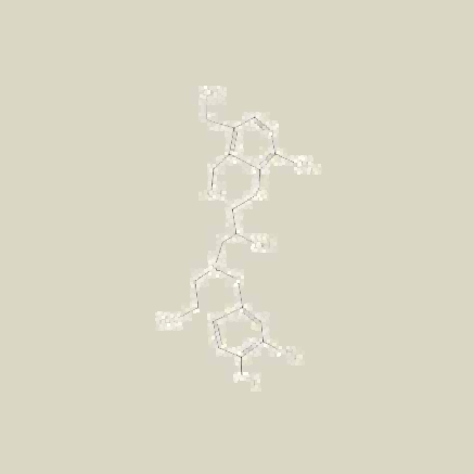 CCCN(CC(O)COc1c(C)ncc(CO)c1CO)Oc1ccc(C)c(C)c1